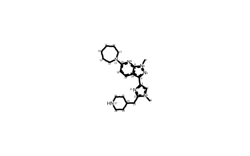 Cn1cc(-c2nn(C)c3nc(N4CCCCCC4)ccc23)nc1CC1CCNCC1